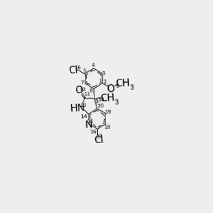 COc1ccc(Cl)cc1C1(C)C(=O)Nc2nc(Cl)ccc21